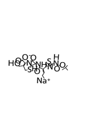 CC/C=C(\C(=O)N[C@@H]1C(=O)N2C(C(=O)[O-])=C(CO)CS[C@@H]12)c1csc(NC(=O)OC(C)(C)C)n1.[Na+]